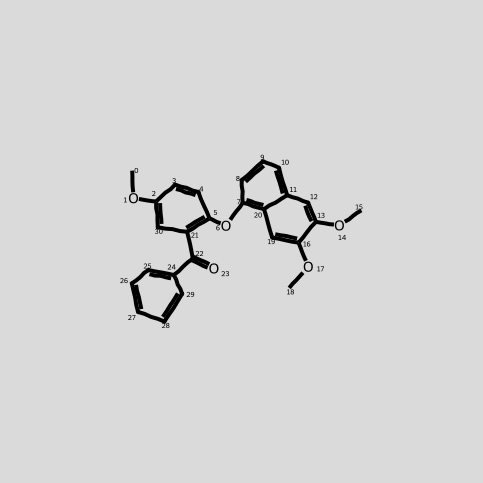 COc1ccc(Oc2cccc3cc(OC)c(OC)cc23)c(C(=O)c2ccccc2)c1